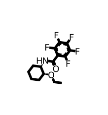 CCO[C@H]1CCCC[C@@H]1NC(=O)c1c(F)c(F)c(F)c(F)c1F